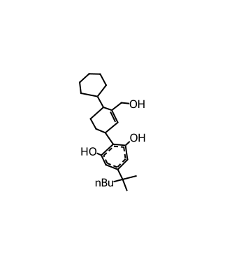 CCCCC(C)(C)c1cc(O)c(C2C=C(CO)C(C3CCCCC3)CC2)c(O)c1